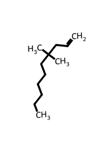 C=CCC(C)(C)CCCCCC